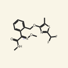 CNC(=O)/C(=N/OC)c1ccccc1COc1nc(C(F)F)sc1C